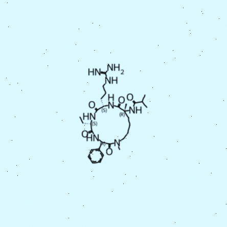 CC[C@@H]1NC(=O)[C@H](CCCNC(=N)N)NC(=O)[C@](C)(NC(=O)C(C)C)CCCCN(C)C(=O)[C@@H](c2ccccc2)NC1=O